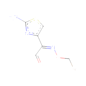 Nc1nc(/C([C]=O)=N/OCBr)cs1